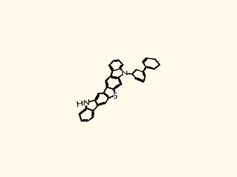 C1=CC(n2c3ccccc3c3cc4c(cc32)sc2cc3c(cc24)[nH]c2ccccc23)CC(C2=CCCC=C2)=C1